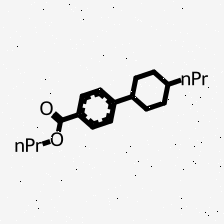 CCCOC(=O)c1ccc(C2CCC(CCC)CC2)cc1